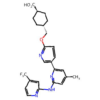 Cc1cc(Nc2cc(C(F)(F)F)ccn2)nc(-c2ccc(OC[C@H]3CC[C@H](C(=O)O)CC3)nc2)c1